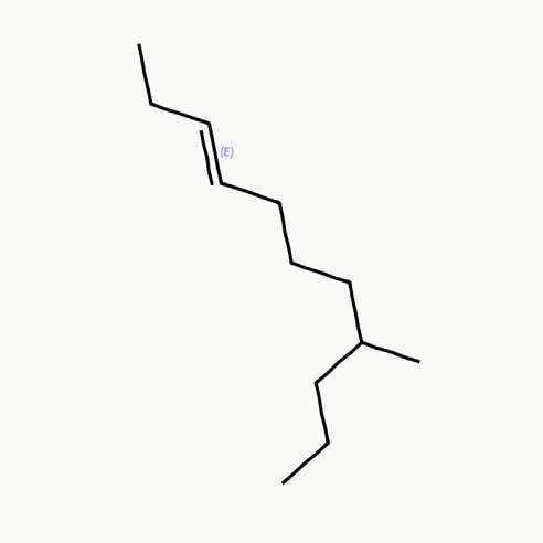 CC/C=C/CCCC(C)CCC